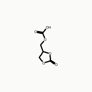 O=C(O)OCC1COC(=O)O1